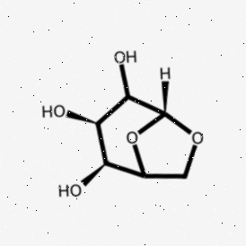 OC1[C@@H]2OCC(O2)[C@@H](O)[C@H]1O